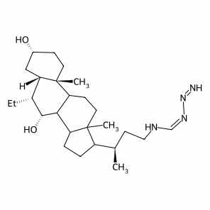 CC[C@H]1[C@@H](O)C2C3CCC([C@H](C)CCN/C=N\N=N)C3(C)CCC2[C@@]2(C)CC[C@@H](O)C[C@@H]12